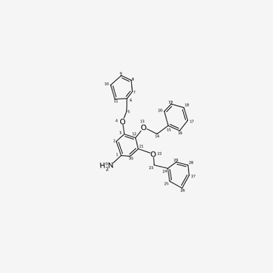 Nc1cc(OCc2ccccc2)c(OCc2ccccc2)c(OCc2ccccc2)c1